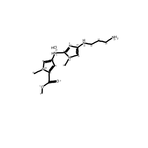 COC(=O)c1cc(Nc2nc(NCCCN)cn2C)cn1C.Cl